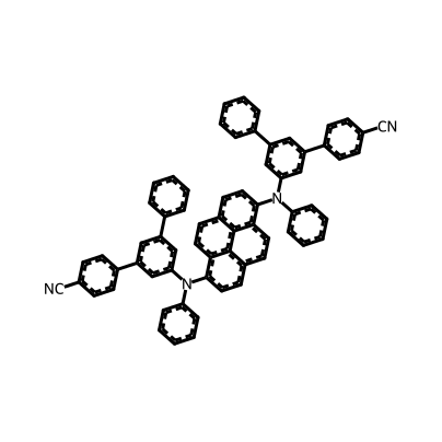 N#Cc1ccc(-c2cc(-c3ccccc3)cc(N(c3ccccc3)c3ccc4ccc5c(N(c6ccccc6)c6cc(-c7ccccc7)cc(-c7ccc(C#N)cc7)c6)ccc6ccc3c4c65)c2)cc1